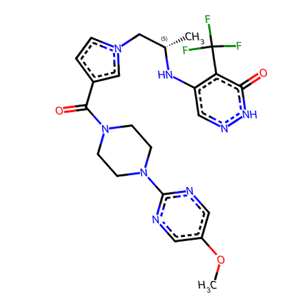 COc1cnc(N2CCN(C(=O)c3ccn(C[C@H](C)Nc4cn[nH]c(=O)c4C(F)(F)F)c3)CC2)nc1